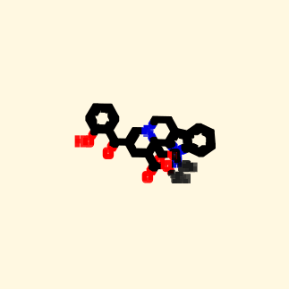 CC(C)(C)OC(=O)C1=CC(C(=O)c2ccccc2O)=CN2CCc3c([nH]c4ccccc34)C12C(=O)OC(C)(C)C